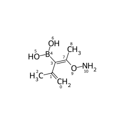 C=C(C)/C(B(O)O)=C(/C)ON